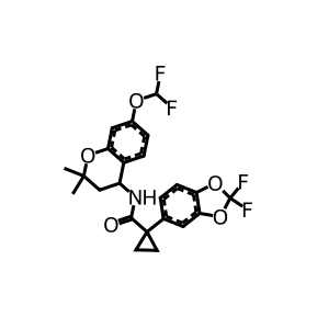 CC1(C)CC(NC(=O)C2(c3ccc4c(c3)OC(F)(F)O4)CC2)c2ccc(OC(F)F)cc2O1